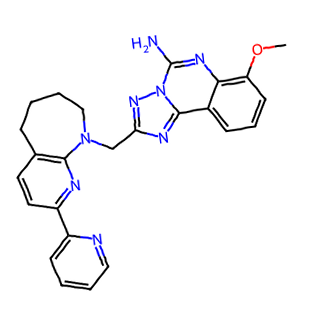 COc1cccc2c1nc(N)n1nc(CN3CCCCc4ccc(-c5ccccn5)nc43)nc21